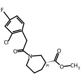 COC(=O)[C@@H]1CCCN(C(=O)Cc2ccc(F)cc2Cl)C1